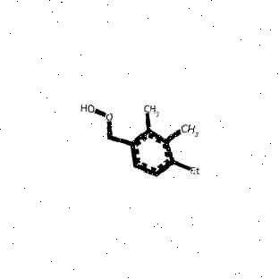 CCc1ccc(COO)c(C)c1C